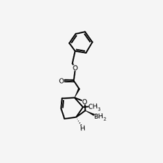 B[C@@H]1O[C@@]2(CC(=O)OCc3ccccc3)C=CC[C@H]1C2C